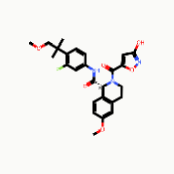 COCC(C)(C)c1ccc(NC(=O)[C@H]2c3ccc(OC)cc3CCN2C(=O)c2cc(O)no2)cc1F